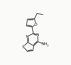 CCc1ccc(-c2nc(N)c3ccsc3n2)o1